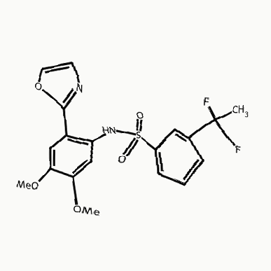 COc1cc(NS(=O)(=O)c2cccc(C(C)(F)F)c2)c(-c2ncco2)cc1OC